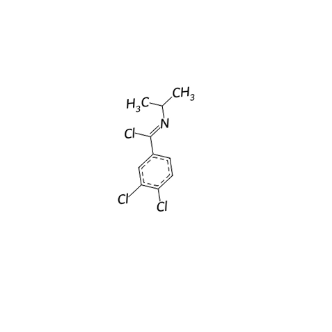 CC(C)N=C(Cl)c1ccc(Cl)c(Cl)c1